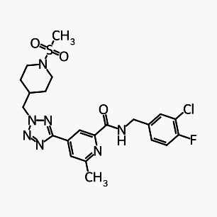 Cc1cc(-c2nnn(CC3CCN(S(C)(=O)=O)CC3)n2)cc(C(=O)NCc2ccc(F)c(Cl)c2)n1